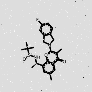 Cc1cc([C@@H](C)N[S@@+]([O-])C(C)(C)C)c2oc(N3Cc4ccc(F)cc4C3)c(C)c(=O)c2c1